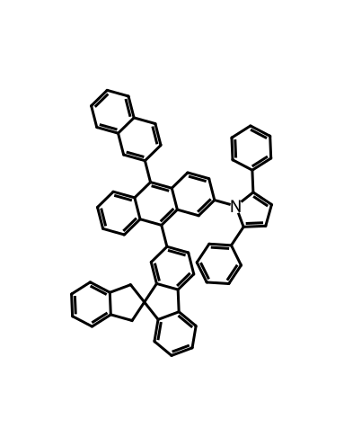 c1ccc(-c2ccc(-c3ccccc3)n2-c2ccc3c(-c4ccc5ccccc5c4)c4ccccc4c(-c4ccc5c(c4)C4(Cc6ccccc6C4)c4ccccc4-5)c3c2)cc1